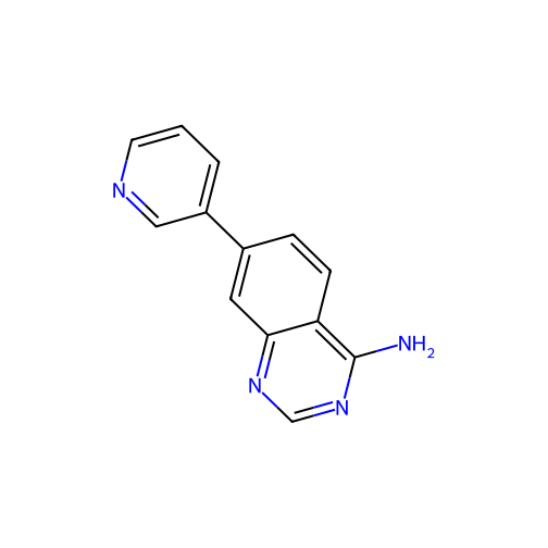 Nc1ncnc2cc(-c3cccnc3)ccc12